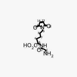 NCC(=O)N[C@@H](CCCCN1C(=O)C=CC1=O)C(=O)O